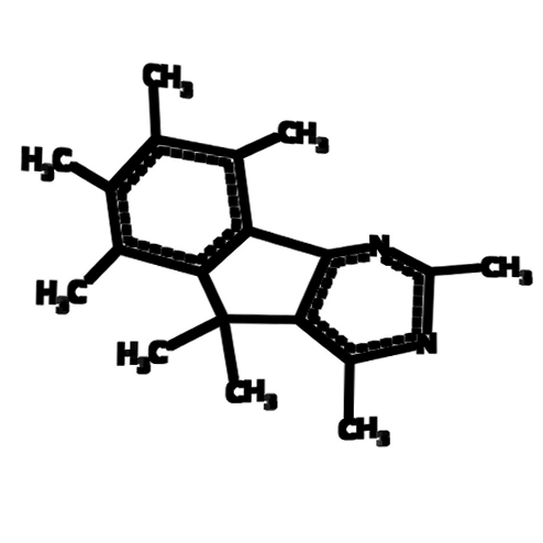 Cc1nc(C)c2c(n1)-c1c(C)c(C)c(C)c(C)c1C2(C)C